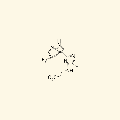 O=C(O)CCNc1nc(-c2c[nH]c3ncc(C(F)(F)F)cc23)ncc1F